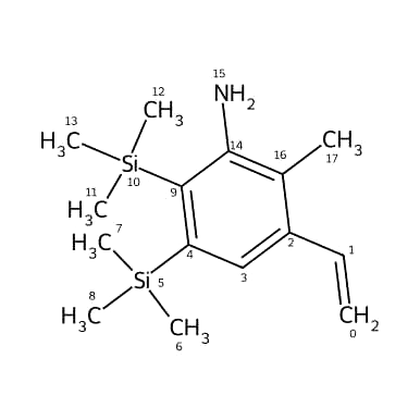 C=Cc1cc([Si](C)(C)C)c([Si](C)(C)C)c(N)c1C